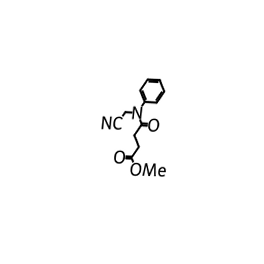 COC(=O)CCC(=O)N(CC#N)c1ccccc1